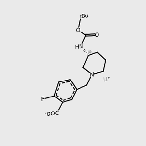 CC(C)(C)OC(=O)N[C@@H]1CCCN(Cc2ccc(F)c(C(=O)[O-])c2)C1.[Li+]